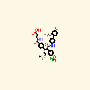 CCC[C@H](c1ccc(C(=O)NCCC(=O)O)cc1)[C@@H](C(=O)Nc1ccc(-c2ccc(Cl)cc2C)cc1)c1ccc(OC(F)(F)F)cc1